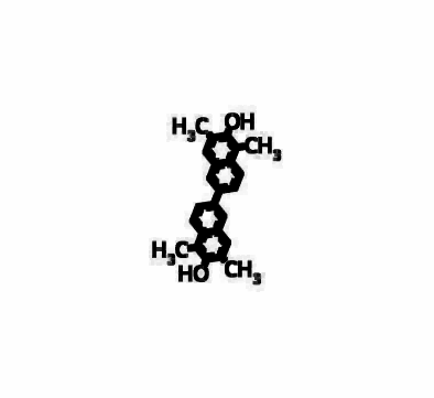 Cc1cc2cc(-c3ccc4c(C)c(O)c(C)cc4c3)ccc2c(C)c1O